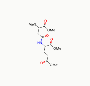 CNC(CC(=O)NC(CCC(=O)OC)C(=O)OC)C(=O)OC